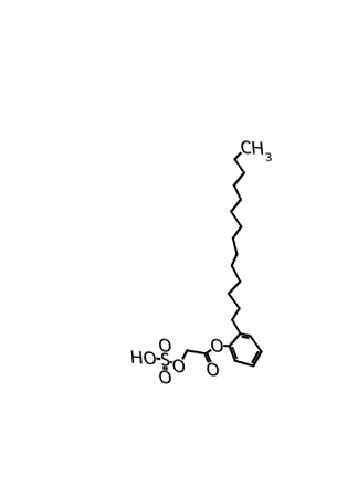 CCCCCCCCCCCCCCc1ccccc1OC(=O)COS(=O)(=O)O